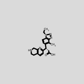 CCn1nnc2c(C)c([C@H](CC(=O)O)c3ccc4c(n3)CNCC4)ccc21